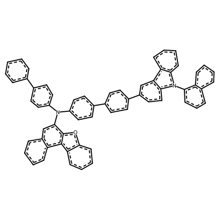 c1ccc(-c2ccc(N(c3ccc(-c4ccc(-c5ccc6c(c5)c5ccccc5n6-c5cccc6ccccc56)cc4)cc3)c3cc4ccccc4c4c3oc3ccccc34)cc2)cc1